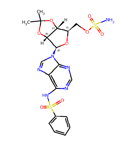 CC1(C)O[C@@H]2[C@H](O1)[C@@H](COS(N)(=O)=O)O[C@H]2n1cnc2c(NS(=O)(=O)c3ccccc3)ncnc21